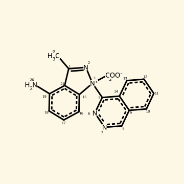 CC1=N[N+](C(=O)[O-])(c2nncc3ccccc23)c2cccc(N)c21